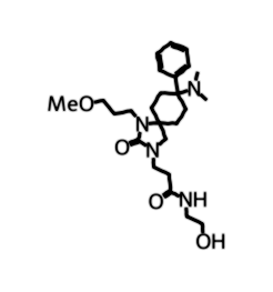 COCCCN1C(=O)N(CCC(=O)NCCO)CC12CCC(c1ccccc1)(N(C)C)CC2